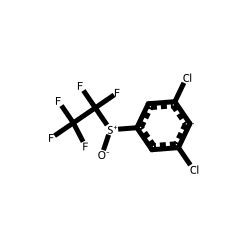 [O-][S+](c1cc(Cl)[c]c(Cl)c1)C(F)(F)C(F)(F)F